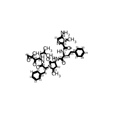 CC(C)C[C@H](NC(=O)[C@H](Cc1ccccc1)N1C(=O)[C@@H](NC(=O)[C@H](CCc2ccccc2)NC(=O)c2ncc(N)n2C)CC1C)C(=O)C1(C)CO1